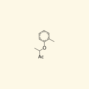 CC(=O)C(C)Oc1ccccc1C